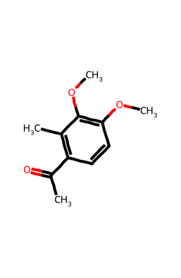 COc1ccc(C(C)=O)c(C)c1OC